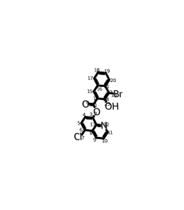 O=C(Oc1ccc(Cl)c2cccnc12)c1cc2ccccc2c(Br)c1O